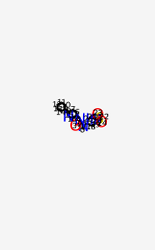 CN(C(=O)Nc1ccc(-c2ccccc2)nc1)C1CCN(S(C)(=O)=O)CC1